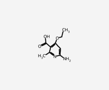 CCOc1cc(N)nc(C)c1C(=O)O